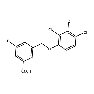 O=C(O)c1cc(F)cc(COc2ccc(Cl)c(Cl)c2Cl)c1